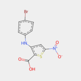 O=C(O)c1sc([N+](=O)[O-])cc1Nc1ccc(Br)cc1